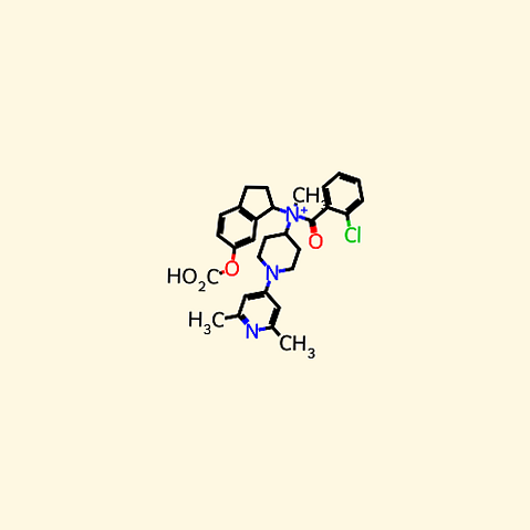 Cc1cc(N2CCC([N+](C)(C(=O)c3ccccc3Cl)C3CCc4ccc(OC(=O)O)cc43)CC2)cc(C)n1